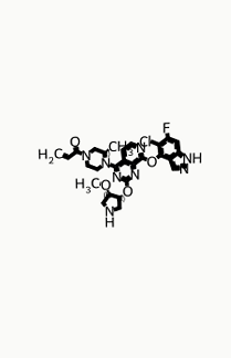 C=CC(=O)N1CCN(c2nc(O[C@@H]3CNC[C@H]3OC)nc3c(Oc4c(Cl)c(F)cc5[nH]ncc45)nccc23)[C@H](C)C1